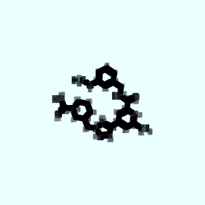 COc1cccc(CNC(=O)c2cc(-c3nnn(CC4CCCN(C(=O)O)C4)n3)cc(C)n2)c1